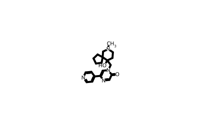 CN1CCC(O)(Cn2cc(-c3ccncc3)ncc2=O)C2(CCCC2)C1